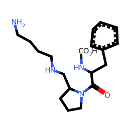 NCCCCNCC1CCCN1C(=O)C(Cc1ccccc1)NC(=O)O